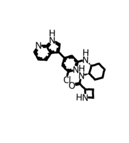 O=C(N[C@@H]1CCCC[C@H]1Nc1cc(-c2c[nH]c3ncccc23)cc(Cl)n1)C1CCN1